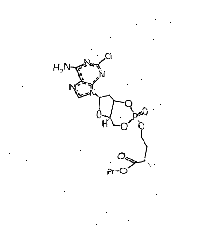 CC(C)OC(=O)[C@@H](C)CCOP1(=O)OC[C@H]2O[C@@H](n3cnc4c(N)nc(Cl)nc43)CC2O1